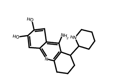 Nc1c2c(nc3cc(O)c(O)cc13)CCCC2C1CCCCN1